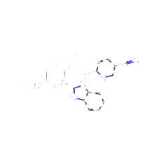 CC(c1ccc(C#N)cn1)n1c(N2CCC[C@H](N)C2)nc2ccccc21.Cl